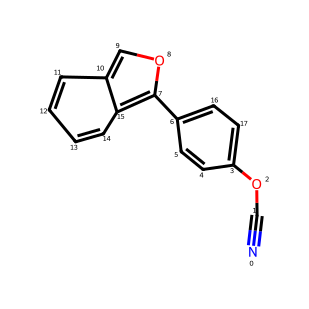 N#COc1ccc(-c2occ3ccccc23)cc1